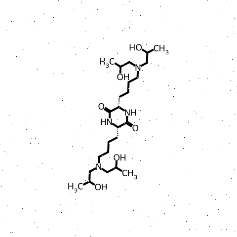 CC(O)CN(CCCC[C@@H]1NC(=O)[C@H](CCCCN(CC(C)O)CC(C)O)NC1=O)CC(C)O